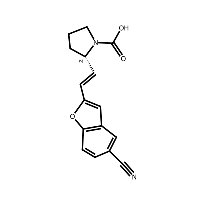 N#Cc1ccc2oc(C=C[C@@H]3CCCN3C(=O)O)cc2c1